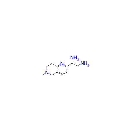 CN1CCc2nc(C(N)CN)ccc2C1